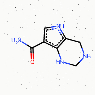 NC(=O)c1c[nH]c2c1NCNC2